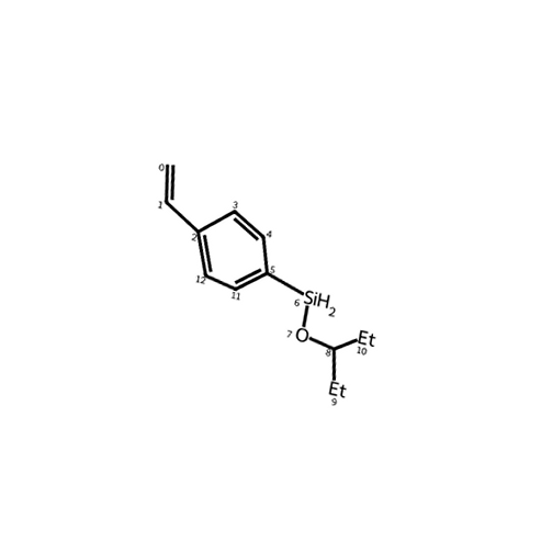 C=Cc1ccc([SiH2]OC(CC)CC)cc1